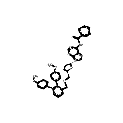 COc1ccc(-c2cccc(COC[C@H]3[CH]C[C@H](n4cnc5c(NC(=O)c6ccccc6)ncnc54)O3)c2-c2ccc(OC)cc2)cc1